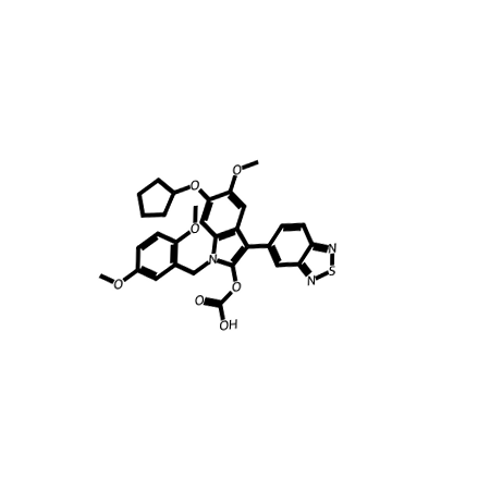 COc1ccc(OC)c(Cn2c(OC(=O)O)c(-c3ccc4nsnc4c3)c3cc(OC)c(OC4CCCC4)cc32)c1